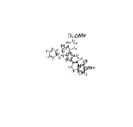 COC(=O)C1CCC(n2c(C(C)Cc3ccccc3)nc3c4c(ccc32)N(C(=O)OC)[C@@H](C)CC4)CC1